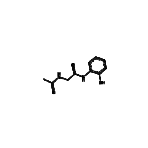 CC(=O)NCC(=O)Nc1ccccc1O